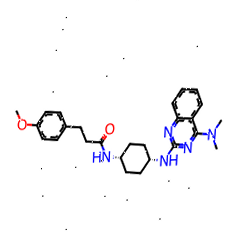 COc1ccc(CCC(=O)N[C@H]2CC[C@@H](Nc3nc(N(C)C)c4ccccc4n3)CC2)cc1